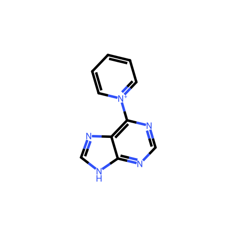 c1cc[n+](-c2ncnc3[nH]cnc23)cc1